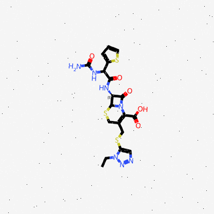 CCn1nncc1SCC1=C(C(=O)O)N2C(=O)[C@H](NC(=O)C(NC(N)=O)c3cccs3)C2SC1